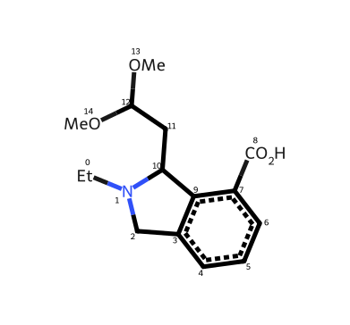 CCN1Cc2cccc(C(=O)O)c2C1CC(OC)OC